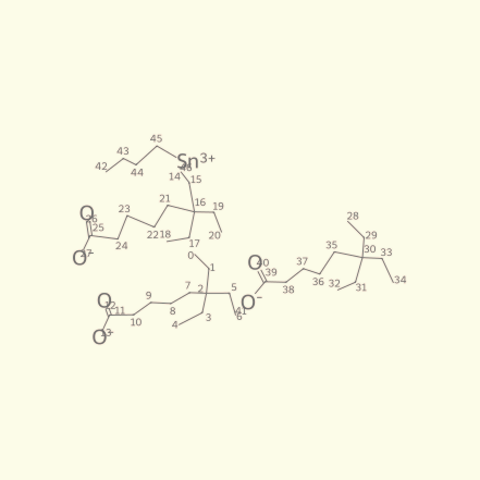 CCC(CC)(CC)CCCCC(=O)[O-].CCC(CC)(CC)CCCCC(=O)[O-].CCC(CC)(CC)CCCCC(=O)[O-].CCC[CH2][Sn+3]